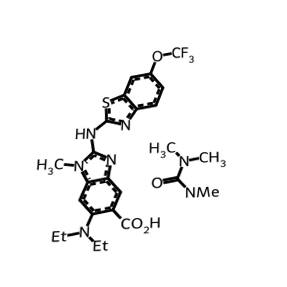 CCN(CC)c1cc2c(cc1C(=O)O)nc(Nc1nc3ccc(OC(F)(F)F)cc3s1)n2C.CNC(=O)N(C)C